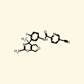 C[C@]1(c2cc(NC(=O)c3ccc(C#N)cn3)ccc2F)N=C(N)OC2=C1COC2